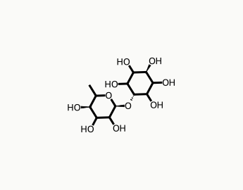 CC1O[C@@H](O[C@H]2C(O)C(O)[C@H](O)C(O)C2O)C(O)C(O)[C@H]1O